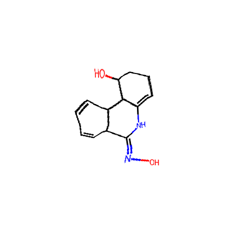 ON=C1NC2=CCCC(O)C2C2C=CC=CC12